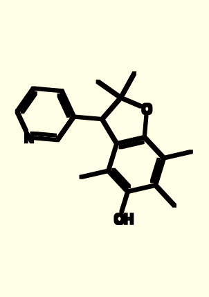 Cc1c(C)c2c(c(C)c1O)C(c1cccnc1)C(C)(C)O2